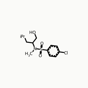 CC(C)CC(CO)N(C)S(=O)(=O)c1ccc(Cl)cc1